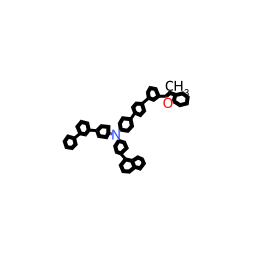 Cc1c(-c2cccc(-c3ccc(-c4ccc(N(c5ccc(-c6cccc(-c7ccccc7)c6)cc5)c5ccc(-c6cccc7ccccc67)cc5)cc4)cc3)c2)oc2ccccc12